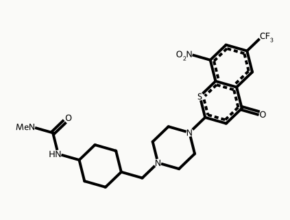 CNC(=O)NC1CCC(CN2CCN(c3cc(=O)c4cc(C(F)(F)F)cc([N+](=O)[O-])c4s3)CC2)CC1